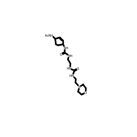 CC(=O)NC1C=CC(NC(=O)NCCNC(=O)NCCN2CCOCC2)CC1